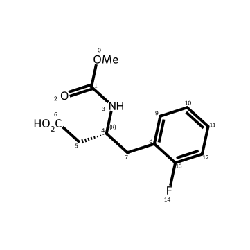 COC(=O)N[C@@H](CC(=O)O)Cc1ccccc1F